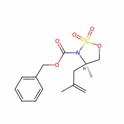 C=C(C)C[C@]1(C)COS(=O)(=O)N1C(=O)OCc1ccccc1